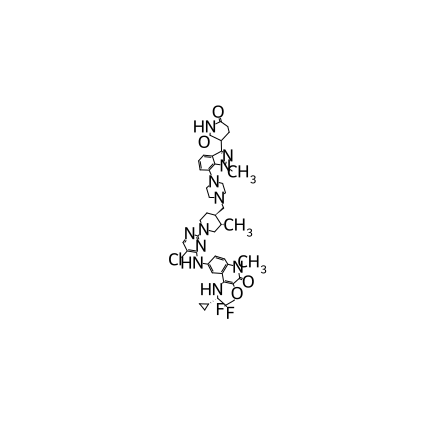 C[C@@H]1CN(c2ncc(Cl)c(Nc3ccc4c(c3)c3c(c(=O)n4C)OCC(F)(F)[C@H](C4CC4)N3)n2)CC[C@H]1CN1CCN(c2cccc3c(C4CCC(=O)NC4=O)nn(C)c23)CC1